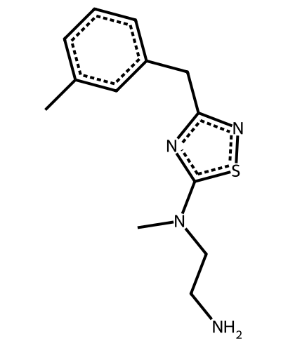 Cc1cccc(Cc2nsc(N(C)CCN)n2)c1